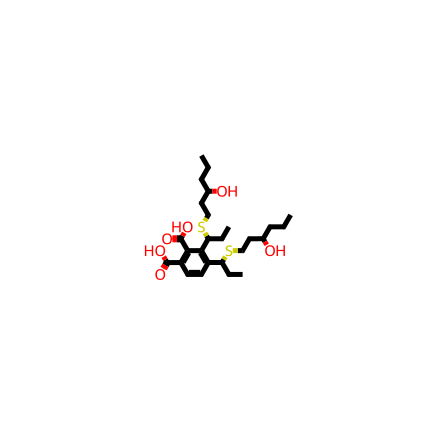 CCCC(O)CCSC(CC)c1ccc(C(=O)O)c(C(=O)O)c1C(CC)SCCC(O)CCC